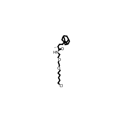 C[C@H](CCC12CC3CC(CC(C3)C1)C2)C(=O)NCCOCCOCCCCCCCl